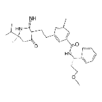 COCC[C@H](NC(=O)c1cc(C)cc(CCC2C(=N)N[C@](C)(C(C)C)CC2=O)c1)c1ccccc1